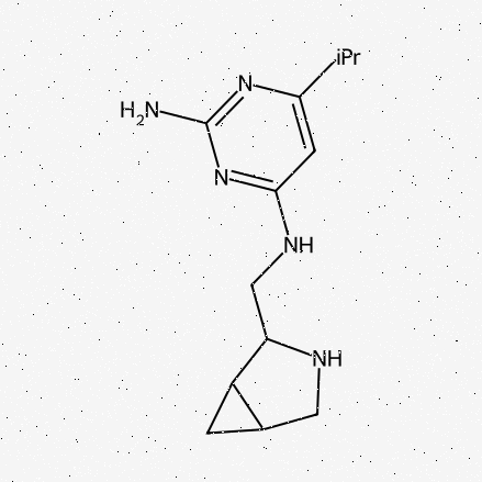 CC(C)c1cc(NCC2NCC3CC32)nc(N)n1